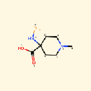 CN1CCC(NP)(C(=O)O)CC1